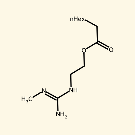 CCCCCCCC(=O)OCCNC(N)=NC